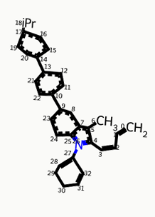 C=C/C=C\c1c(C)c2cc(-c3ccc(-c4ccc(C(C)C)cc4)cc3)ccc2n1C1=CCCC=C1